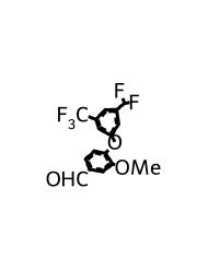 COc1cc(C=O)ccc1Oc1cc(C(F)F)cc(C(F)(F)F)c1